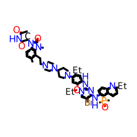 CCOc1cc(N2CCC(N3CCN(CCc4c(C)ccc5c4n(C)c(=O)n5C4CCC(=O)NC4=O)CC3)CC2)c(CC)cc1Nc1ncc(Br)c(Nc2ccc3nc(CC)ccc3c2P(C)(C)=O)n1